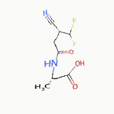 C[C@H](NC(=O)CC(C#N)C(F)F)C(=O)O